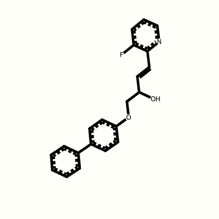 OC(C=Cc1ncccc1F)COc1ccc(-c2ccccc2)cc1